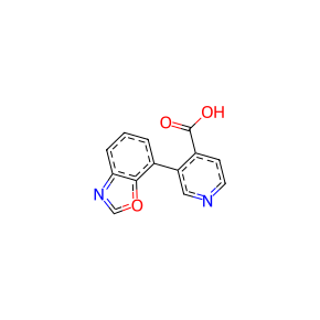 O=C(O)c1ccncc1-c1cccc2ncoc12